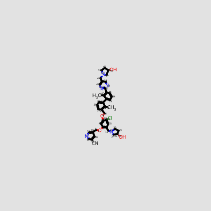 Cc1c(COc2cc(OCc3cncc(C#N)c3)c(CN3CC[C@@H](O)C3)cc2Cl)cccc1-c1cccc(-c2ncc(CN3CC[C@@H](O)C3)cn2)c1C